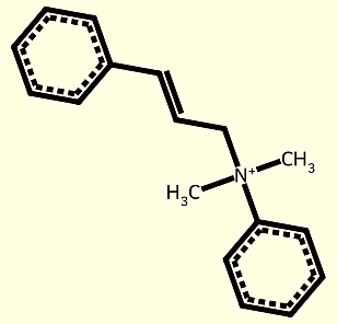 C[N+](C)(CC=Cc1ccccc1)c1ccccc1